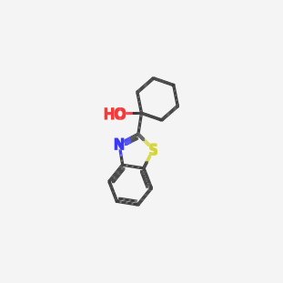 OC1(c2nc3ccccc3s2)CCCCC1